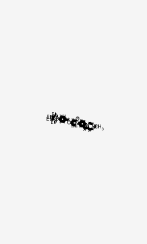 CCC1(CC)OB(c2ccc(COc3ccn(-c4ccc5c(c4)cc4n5CCN(C)CC4)c(=O)c3)cc2)OC1(CC)CC